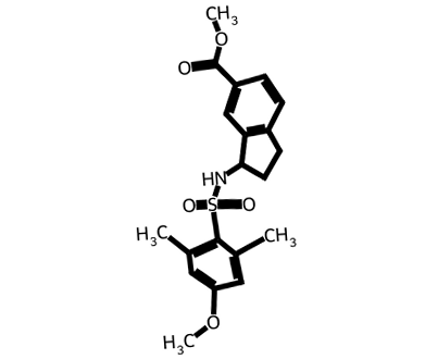 COC(=O)c1ccc2c(c1)C(NS(=O)(=O)c1c(C)cc(OC)cc1C)CC2